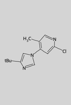 Cc1cnc(Cl)cc1-n1cnc(C(C)(C)C)c1